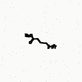 CCCSCCCC(=O)OCC(C)C